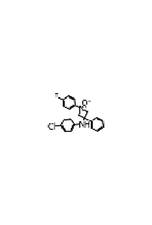 [O-][N+]1(c2ccc(F)cc2)CC(Nc2ccc(Cl)cc2)(c2ccccc2)C1